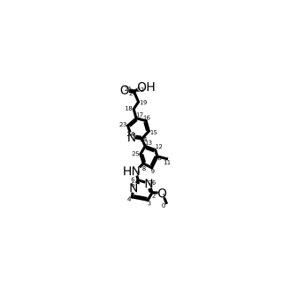 COc1ccnc(Nc2cc(C)cc(-c3ccc(CCC(=O)O)cn3)c2)n1